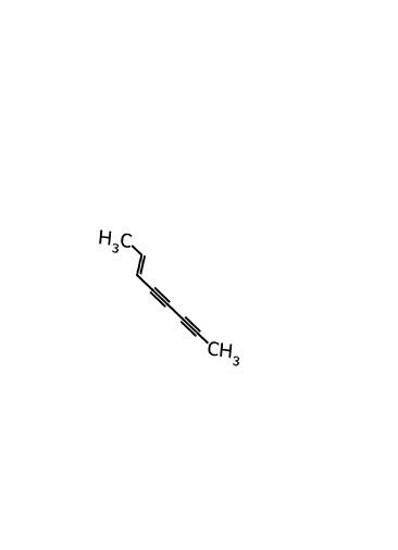 CC#CC#CC=CC